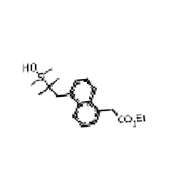 CCOC(=O)Cc1cccc2c(CC(C)(C)[Si](C)(C)O)cccc12